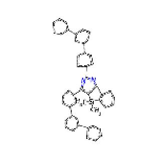 C[Si]1(C)c2ccccc2-c2nc(-c3ccc(-c4cccc(-c5ccccc5)c4)cc3)nc(-c3cccc(-c4cccc(-c5ccccc5)c4)c3)c21